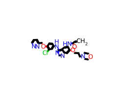 C=CC(=O)Nc1cc2c(Nc3ccc(OCc4cccnn4)c(Cl)c3)ncnc2cc1OCCCN1CCOCC1